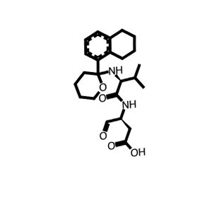 CC(C)[C@H](NC1(c2cccc3c2CCCC3)CCCCO1)C(=O)N[C@H](C=O)CC(=O)O